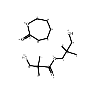 CC(C)(CO)COC(=O)C(C)(C)CO.O=C1CCCCCO1